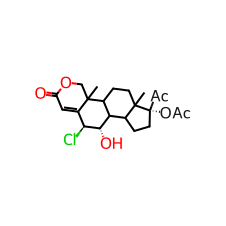 CC(=O)O[C@]1(C(C)=O)CCC2C3C(CCC21C)C1(C)COC(=O)C=C1[C@H](Cl)[C@H]3O